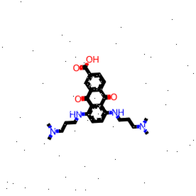 CN(C)CCCNc1ccc(NCCCN(C)C)c2c1C(=O)c1ccc(C(=O)O)cc1C2=O